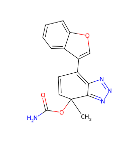 CC1(OC(N)=O)C=CC(c2coc3ccccc23)=C2N=NN=C21